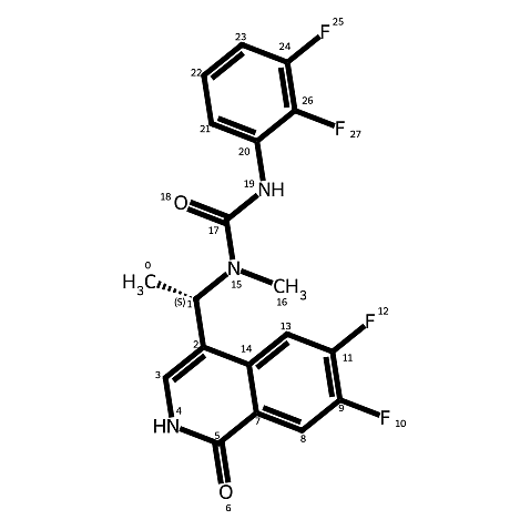 C[C@@H](c1c[nH]c(=O)c2cc(F)c(F)cc12)N(C)C(=O)Nc1cccc(F)c1F